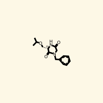 CC(C)OC[C@@H]1NC(=O)CN(Cc2ccccc2)C1=O